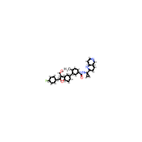 Cc1ccc(C(=O)NC2(c3ccc4cnccc4n3)CC2)cc1-c1ccc2oc(-c3ccc(F)cc3)c(C=O)c2c1